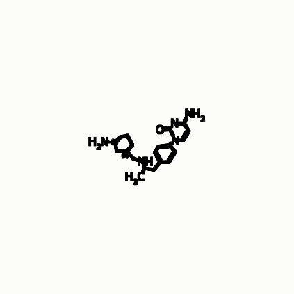 CC(Cc1ccc(-n2ccc(N)nc2=O)cc1)NC[C@@H]1CCC[C@@H](N)C1